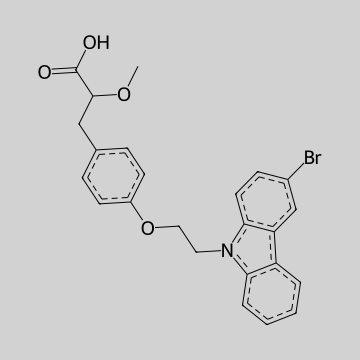 COC(Cc1ccc(OCCn2c3ccccc3c3cc(Br)ccc32)cc1)C(=O)O